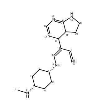 N=C/C(=C\N[C@H]1CC[C@@H](NI)CC1)C1N=CN=C2NCCC21